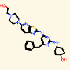 OCCN1CCN(c2ccc3nc(Nc4cc(Cc5ccccc5)nc(N[C@H]5CC[C@H](O)CC5)n4)sc3n2)CC1